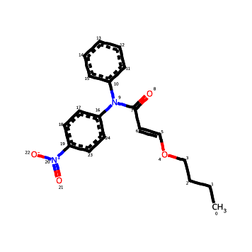 CCCCOC=CC(=O)N(c1ccccc1)c1ccc([N+](=O)[O-])cc1